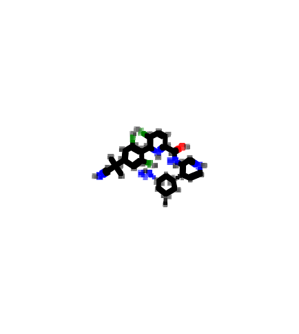 C[C@@H]1C[C@H](N)C[C@H](c2ccncc2NC(=O)c2ccc(F)c(-c3c(F)cc(C(C)(C)C#N)cc3F)n2)C1